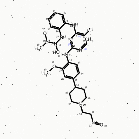 C\C=N/C(=N\C(=C\Cl)Nc1ccccc1NN(O)[S+](C)[O-])Nc1ccc(C2CCN(CCN=O)CC2)cc1OC